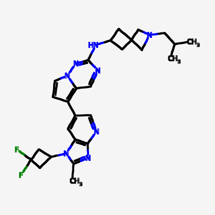 Cc1nc2ncc(-c3ccn4nc(NC5CC6(C5)CN(CC(C)C)C6)ncc34)cc2n1C1CC(F)(F)C1